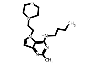 CCCCNc1nc(C)nc2ccn(CCN3CCOCC3)c12